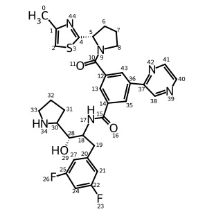 Cc1csc([C@@H]2CCCN2C(=O)c2cc(C(=O)NC(Cc3cc(F)cc(F)c3)[C@H](O)C3CCCN3)cc(-c3cnccn3)c2)n1